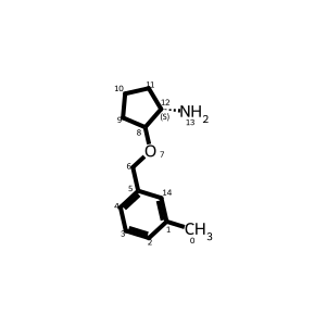 Cc1cccc(COC2CCC[C@@H]2N)c1